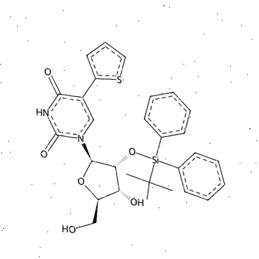 CC(C)(C)[Si](O[C@@H]1[C@H](O)[C@@H](CO)O[C@H]1n1cc(-c2cccs2)c(=O)[nH]c1=O)(c1ccccc1)c1ccccc1